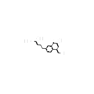 CC=C1C=C(Cl)C(=O)c2cc(CCC=C(C)C)ccc21